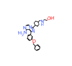 Nc1nccn2c(C3CCC(CNCCO)CC3)nc(-c3cccc(OCc4ccccc4)c3)c12